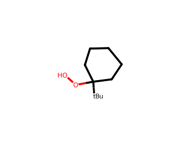 CC(C)(C)C1(OO)CCCCC1